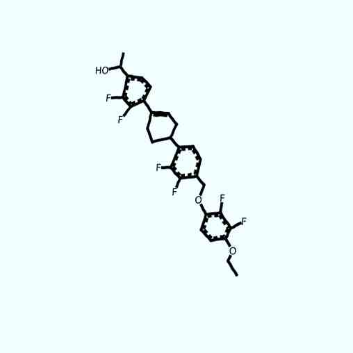 CCOc1ccc(OCc2ccc(C3CC=C(c4ccc(C(C)O)c(F)c4F)CC3)c(F)c2F)c(F)c1F